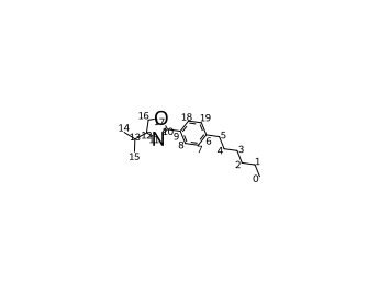 CCCCCCc1ccc(C2=NC(C(C)C)CO2)cc1